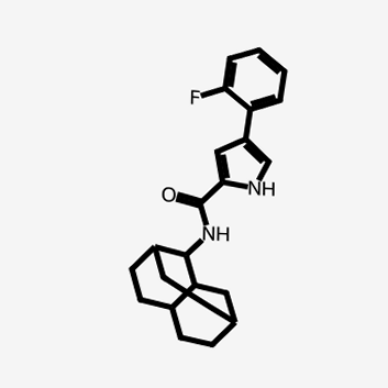 O=C(NC1C2CCC3CCC(C2)CC31)c1cc(-c2ccccc2F)c[nH]1